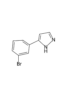 Brc1cccc(-c2ccn[nH]2)c1